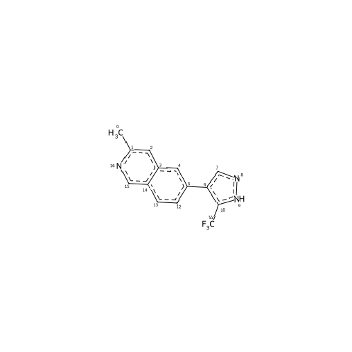 Cc1cc2cc(-c3cn[nH]c3C(F)(F)F)ccc2cn1